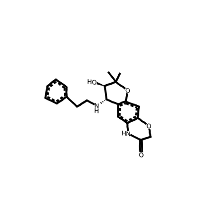 CC1(C)Oc2cc3c(cc2[C@H](NCCc2ccccc2)[C@H]1O)NC(=O)CO3